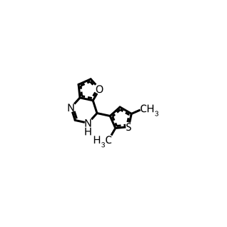 Cc1cc(C2NC=Nc3ccoc32)c(C)s1